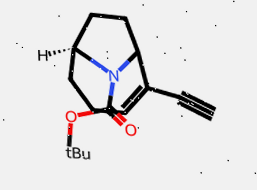 C#CC1=CCC[C@H]2CCC1N2C(=O)OC(C)(C)C